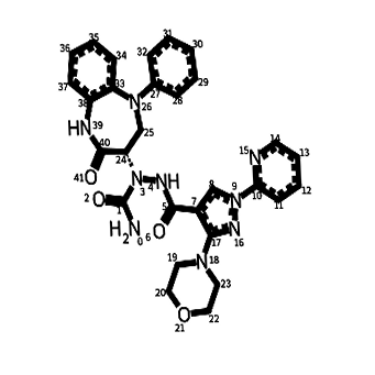 NC(=O)N(NC(=O)c1cn(-c2ccccn2)nc1N1CCOCC1)[C@H]1CN(c2ccccc2)c2ccccc2NC1=O